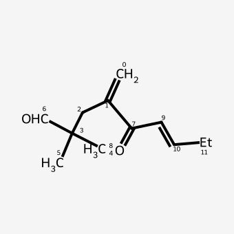 C=C(CC(C)(C)C=O)C(=O)C=CCC